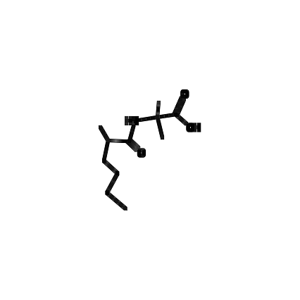 CCCCC(C)C(=O)NC(C)(C)C(=O)O